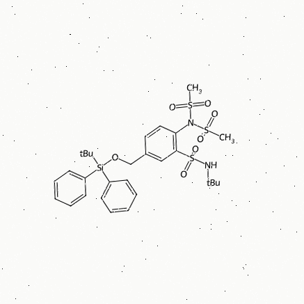 CC(C)(C)NS(=O)(=O)c1cc(CO[Si](c2ccccc2)(c2ccccc2)C(C)(C)C)ccc1N(S(C)(=O)=O)S(C)(=O)=O